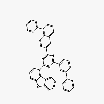 c1ccc(-c2cccc(-c3nc(-c4ccc5c(-c6ccccc6)cccc5c4)nc(-c4cccc5oc6ccccc6c45)n3)c2)cc1